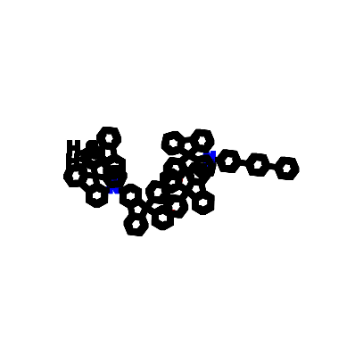 CC1(C)c2ccccc2-c2ccc(N(c3ccc4c(c3)-c3ccccc3C4(c3ccccc3)c3ccc(-c4ccc5c(c4)-c4ccccc4C54c5ccccc5-c5cccc(N(c6ccc(-c7ccc(-c8ccccc8)cc7)cc6)c6ccc7c(c6)-c6ccccc6C7(c6ccccc6)c6ccccc6)c54)cc3)c3cccc4c3C3(c5ccccc5-c5ccccc53)c3ccccc3-4)cc21